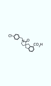 O=C(O)c1cccc2c1CC1(CCN(Cc3ccc(Cl)cc3)C1=O)C2